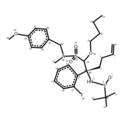 C=CCC[C@@](N[S+]([O-])C(C)(C)C)(c1ccccc1F)C(OCCCC)S(=O)(=O)N(C)Cc1ccc(OC)cc1